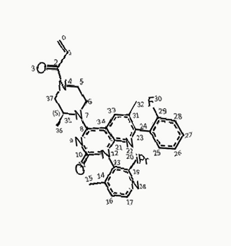 C=CC(=O)N1CCN(c2nc(=O)n(-c3c(C)ccnc3C(C)C)c3nc(-c4ccccc4F)c(C)cc23)[C@@H](C)C1